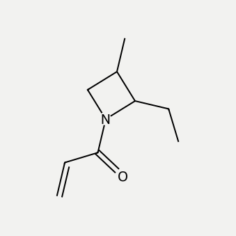 C=CC(=O)N1CC(C)C1CC